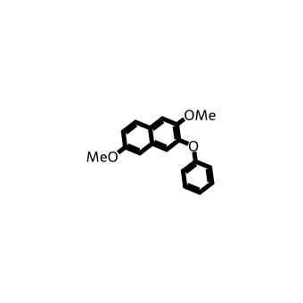 COc1ccc2cc(OC)c(Oc3ccccc3)cc2c1